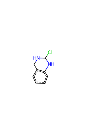 ClC1NCc2ccccc2N1